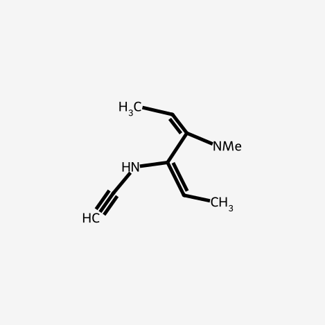 C#CNC(=C/C)/C(=C\C)NC